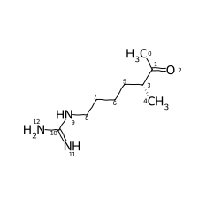 CC(=O)[C@H](C)CCCCNC(=N)N